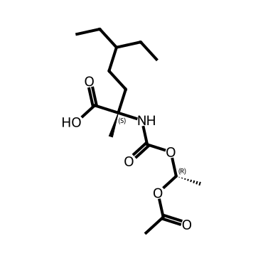 CCC(CC)CC[C@](C)(NC(=O)O[C@H](C)OC(C)=O)C(=O)O